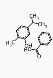 Cc1ccc(C(C)C)cc1O.O=C(O)c1ccccc1